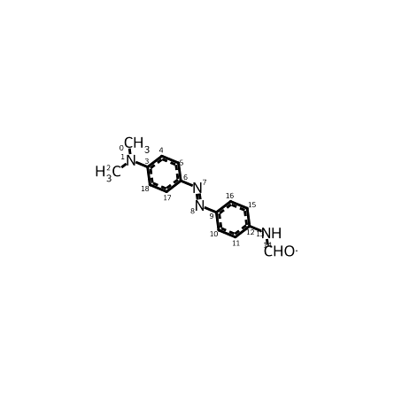 CN(C)c1ccc(N=Nc2ccc(N[C]=O)cc2)cc1